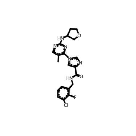 Cc1cnc(NC2CCOC2)nc1-n1cnc(C(=O)NCc2cccc(Cl)c2F)c1